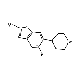 Cc1nc2cc(F)c(N3CCNCC3)cc2o1